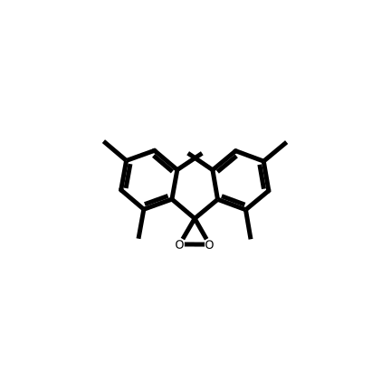 Cc1cc(C)c(C2(c3c(C)cc(C)cc3C)OO2)c(C)c1